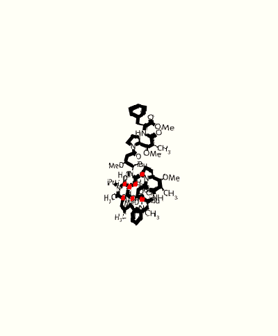 CC[C@H](C)[C@@H]([C@@H](CC(=O)N1CCC[C@H]1[C@H](OC)[C@@H](C)C(=O)N[C@@H](Cc1ccccc1)C(=O)OC)OC)N(C)C(=O)[C@@H](NC(=O)N(C(C)C)C(C)CCC(C)[C@H](NC(=O)N(C)C)C(=O)N(C)[C@@H]([C@@H](C)CC)[C@@H](CC(=O)N1CCC[C@H]1[C@H](OC)[C@@H](C)C(=O)N[C@@H](Cc1ccccc1)C(=O)OC)OC)C(C)C